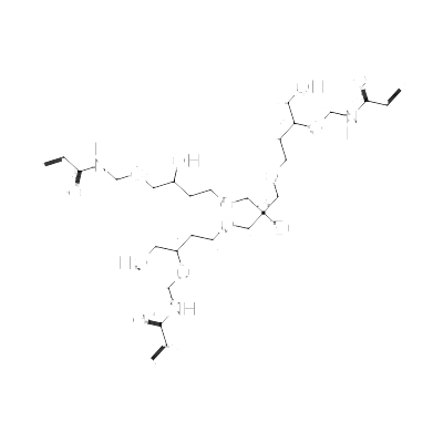 C=CC(=O)NCOCC(O)CCOCC(CC)(COCCC(CO)OCNC(=O)C=C)COCCC(CO)OCNC(=O)C=C